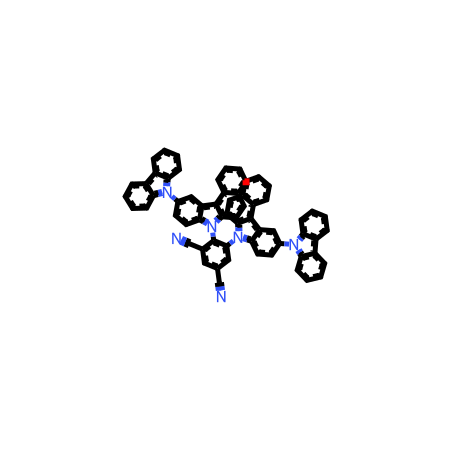 N#Cc1cc(C#N)c(-n2c3ccc(-n4c5ccccc5c5ccccc54)cc3c3c4ccccc4ccc32)c(-n2c3ccc(-n4c5ccccc5c5ccccc54)cc3c3c4ccccc4ccc32)c1